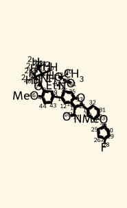 [2H]C([2H])([2H])C(NC(=O)c1cc(-c2cc3c(C(=O)NC)c(-c4ccc(Oc5ccc(F)cc5)cc4)oc3cc2N(CC)S(C)(=O)=O)ccc1OC)(C([2H])([2H])[2H])C([2H])([2H])[2H]